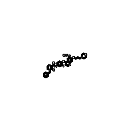 COc1cc2c(Oc3ccc(NC(=O)c4nccn(Cc5ccccc5)c4=O)cc3F)ccnc2cc1OCCCN1CCOCC1